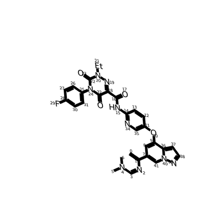 C=C(/N=C\N(C)C)c1cc(Oc2ccc(NC(=O)c3nn(CC)c(=O)n(-c4ccc(F)cc4)c3=O)nc2)c2ccnn2c1